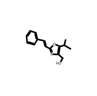 CC(C)c1oc(C=Cc2ccccc2)nc1CO